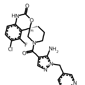 Nc1c(C(=O)N2CCC[C@@]3(C2)OC(=O)Nc2ccc(Cl)c(F)c23)cnn1Cc1cccnc1